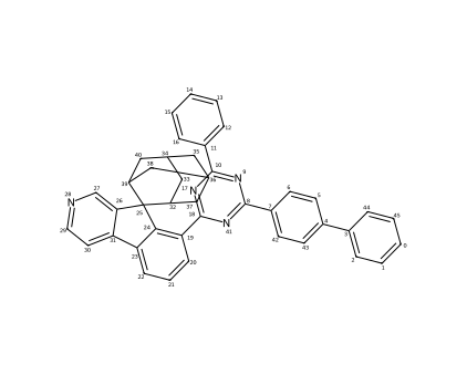 c1ccc(-c2ccc(-c3nc(-c4ccccc4)nc(-c4cccc5c4C4(c6cnccc6-5)C5CC6CC(C5)CC4C6)n3)cc2)cc1